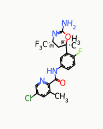 Cc1cc(Cl)cnc1C(=O)Nc1ccc(F)c([C@@]2(C)C[C@H](C(F)(F)F)N=C(N)O2)c1